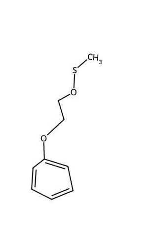 CSOCCOc1ccccc1